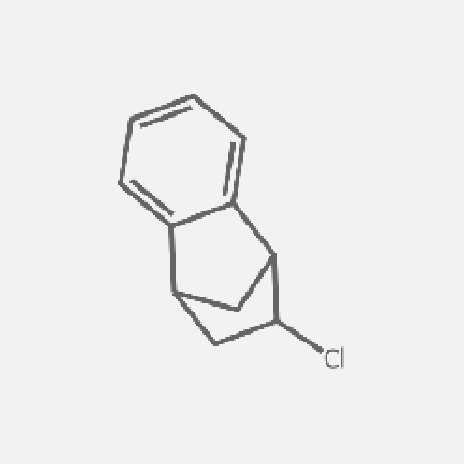 ClC1CC2CC1c1ccccc12